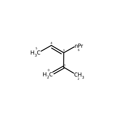 C=C(C)C(=CC)CCC